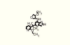 CCOc1ncccc1C(C)(C)c1cc(N[C@H]2COC[C@@H]2OC)c2n[nH]cc2n1